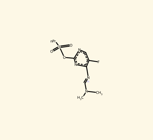 CCCS(=O)(=O)Oc1ncc(F)c(/N=C/N(C)C)n1